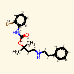 CC(C)(CCNCCc1ccccc1)OC(=O)Nc1ccccc1Br